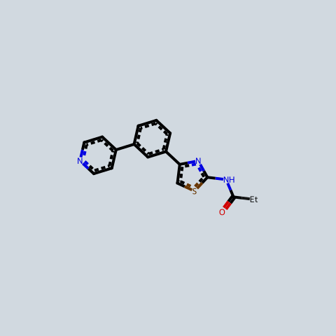 CCC(=O)Nc1nc(-c2cccc(-c3ccncc3)c2)cs1